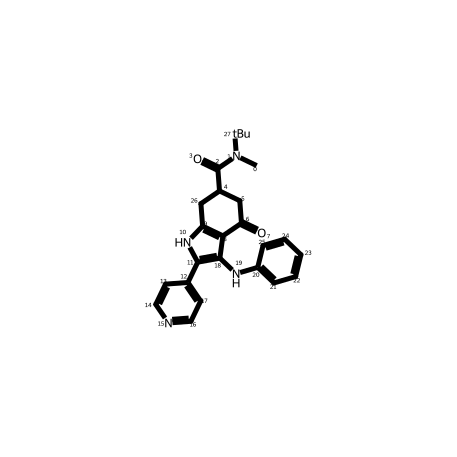 CN(C(=O)C1CC(=O)c2c([nH]c(-c3ccncc3)c2Nc2ccccc2)C1)C(C)(C)C